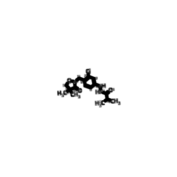 CC(C)C(=O)NNc1ccc(CN2OCC(C)(C)C2=O)c(Cl)c1